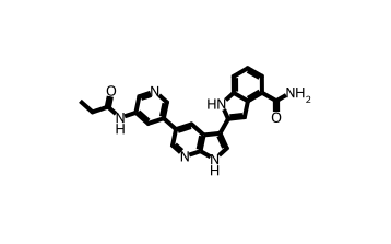 CCC(=O)Nc1cncc(-c2cnc3[nH]cc(-c4cc5c(C(N)=O)cccc5[nH]4)c3c2)c1